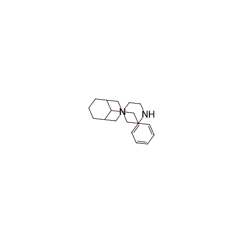 c1ccc(CN2CC3CCCC(C2)C3N2CCNCC2)cc1